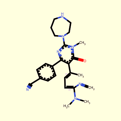 C=N/C(=C\C=C(/C)c1c(-c2ccc(C#N)cc2)nc(N2CCCNCC2)n(C)c1=O)N(C)C